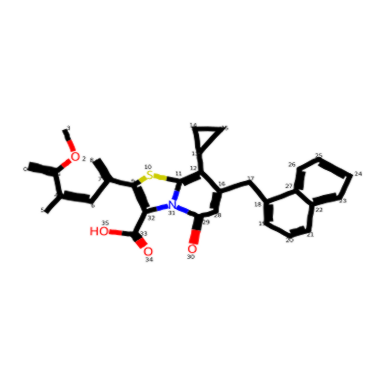 C=C(OC)/C(C)=C\C(=C)c1sc2c(C3CC3)c(Cc3cccc4ccccc34)cc(=O)n2c1C(=O)O